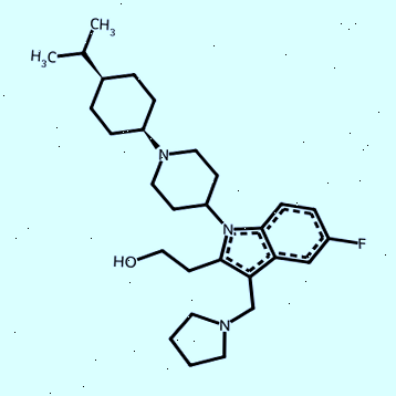 CC(C)[C@H]1CC[C@@H](N2CCC(n3c(CCO)c(CN4CCCC4)c4cc(F)ccc43)CC2)CC1